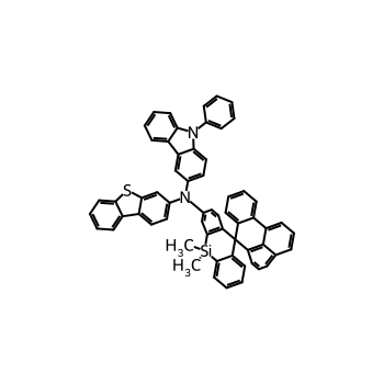 C[Si]1(C)c2ccccc2C2(c3ccccc3-c3cccc4cccc2c34)c2ccc(N(c3ccc4c(c3)sc3ccccc34)c3ccc4c(c3)c3ccccc3n4-c3ccccc3)cc21